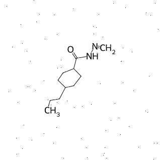 C=NNC(=O)C1CCC(CCC)CC1